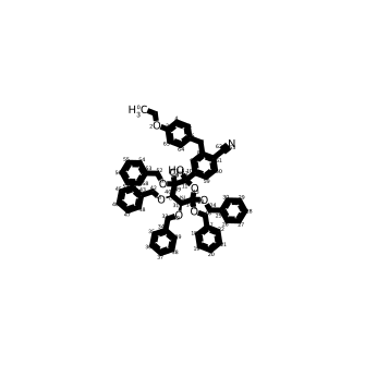 CCOc1ccc(Cc2cc(C3(O)OC(OCc4ccccc4)(OCc4ccccc4)[C@@H](OCc4ccccc4)[C@H](OCc4ccccc4)C3(C)OCc3ccccc3)ccc2C#N)cc1